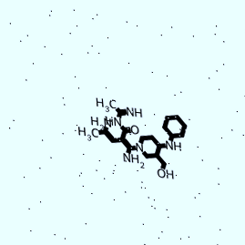 CC(=N)NC(=O)C(/C=C(/C)N)=C(/N)N1CCC(NC2CCCCC2)C(CO)C1